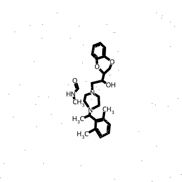 CNC=O.Cc1cccc(C)c1C(C)N1CCN(CC(O)C2COc3ccccc3O2)CC1